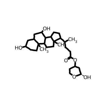 CC(CCC(=O)OC1CCO[C@@H](O)C1)C1CCC2C3C(O)CC4CC(O)CCC4(C)C3CCC12C